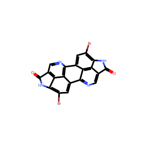 O=C1Nc2c(Br)cc3c4ncc5c6c(c(Br)cc(c7ncc1c2c37)c64)NC5=O